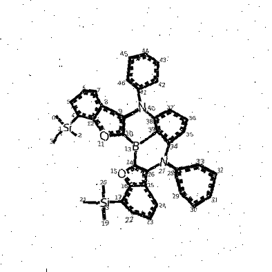 C[Si](C)(C)c1cccc2c3c(oc12)B1c2oc4c([Si](C)(C)C)cccc4c2N(c2ccccc2)c2cccc(c21)N3c1ccccc1